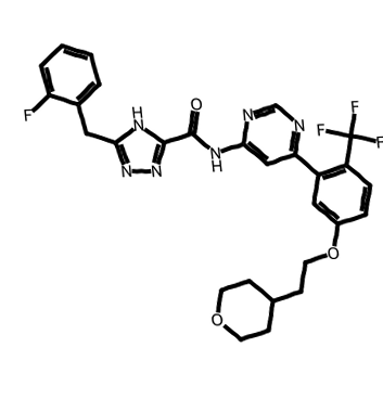 O=C(Nc1cc(-c2cc(OCCC3CCOCC3)ccc2C(F)(F)F)ncn1)c1nnc(Cc2ccccc2F)[nH]1